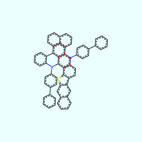 c1ccc(-c2ccc(N(c3cccc(-c4ccccc4N(c4ccc(-c5ccccc5)cc4)c4cccc(-c5cccc6ccccc56)c4)c3)c3ccc4c(c3)sc3cc5ccccc5cc34)cc2)cc1